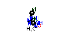 CCn1c(=O)[nH]c2cc3c(NCc4ccc(Cl)cc4)ncnc3cc21.Cl